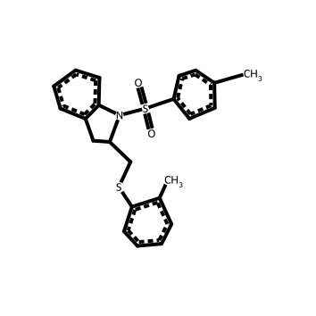 Cc1ccc(S(=O)(=O)N2c3ccccc3CC2CSc2ccccc2C)cc1